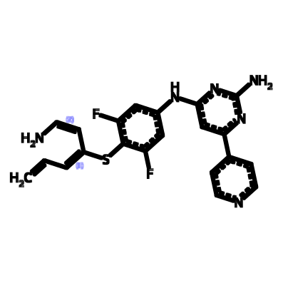 C=C/C=C(\C=C/N)Sc1c(F)cc(Nc2cc(-c3ccncc3)nc(N)n2)cc1F